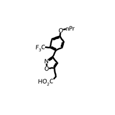 CCCOc1ccc(-c2cc(CC(=O)O)on2)c(C(F)(F)F)c1